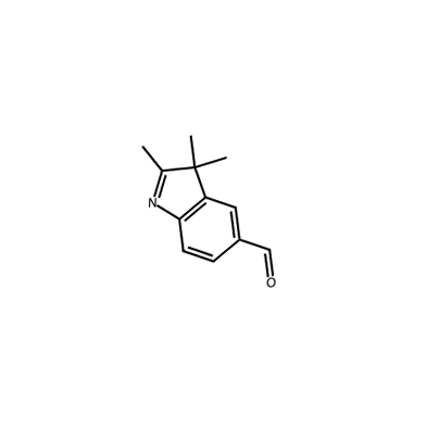 CC1=Nc2ccc(C=O)cc2C1(C)C